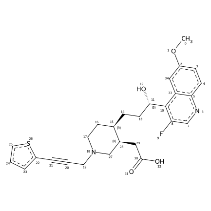 COc1ccc2ncc(F)c([C@@H](O)CC[C@@H]3CCN(CC#Cc4cccs4)C[C@@H]3CC(=O)O)c2c1